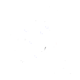 O=[N+]([O-])c1cc(F)c(Nc2cc(C3CC3)[nH]n2)nc1N[C@@H](CO)c1ccc(F)cc1